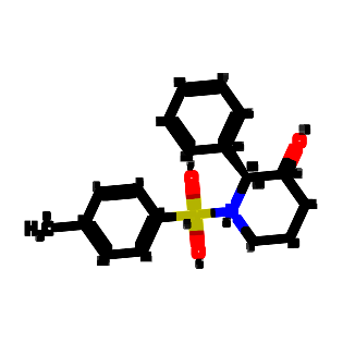 Cc1ccc(S(=O)(=O)N2CCCC(=O)[C@@H]2c2ccccc2)cc1